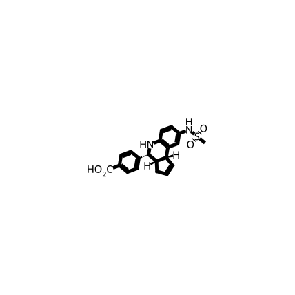 CS(=O)(=O)Nc1ccc2c(c1)[C@@H]1C=CC[C@@H]1[C@H](c1ccc(C(=O)O)cc1)N2